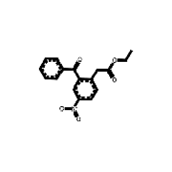 CCOC(=O)Cc1ccc([N+](=O)[O-])cc1C(=O)c1ccccc1